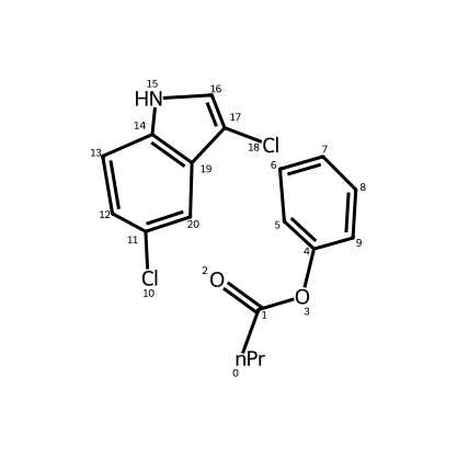 CCCC(=O)Oc1ccccc1.Clc1ccc2[nH]cc(Cl)c2c1